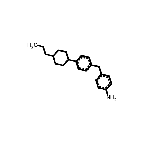 CCCC1CCC(c2ccc(Cc3ccc(N)cc3)cc2)CC1